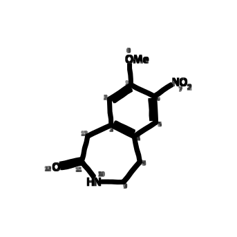 COc1cc2c(cc1[N+](=O)[O-])CCNC(=O)C2